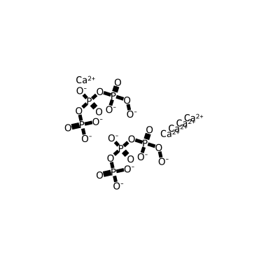 O=P([O-])([O-])OP(=O)([O-])OP(=O)([O-])O[O-].O=P([O-])([O-])OP(=O)([O-])OP(=O)([O-])O[O-].[Ca+2].[Ca+2].[Ca+2].[Ca+2].[Ca+2]